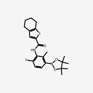 Cc1c(B2OC(C)(C)C(C)(C)O2)ccc(F)c1NC(=O)c1cc2c(s1)CCCC2